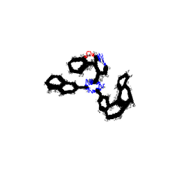 c1ccc2cc(-c3nc(-c4ccc5ccc6ccc7ccccc7c6c5c4)nc(-c4ccnc5oc6ccccc6c45)n3)ccc2c1